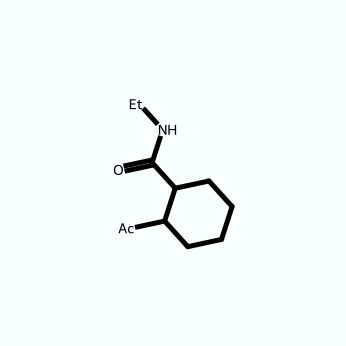 CCNC(=O)C1CCCCC1C(C)=O